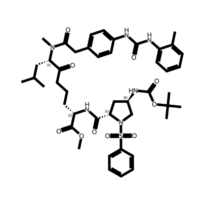 COC(=O)[C@H](CCCC(=O)[C@H](CC(C)C)N(C)C(=O)Cc1ccc(NC(=O)Nc2ccccc2C)cc1)NC(=O)[C@@H]1C[C@@H](NC(=O)OC(C)(C)C)CN1S(=O)(=O)c1ccccc1